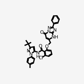 Cc1ccc(-n2nc(C(C)(C)C)cc2NC(=O)c2c(Cl)cccc2OCc2cc(=O)n3nc(-c4ccccc4)nc3[nH]2)cc1